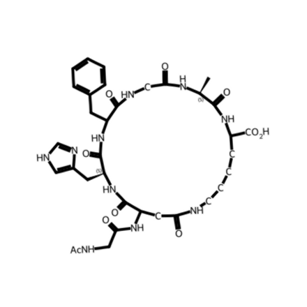 CC(=O)NCC(=O)NC1CC(=O)NCCCCC(C(=O)O)NC(=O)[C@H](C)NC(=O)CNC(=O)C(Cc2ccccc2)NC(=O)[C@H](Cc2c[nH]cn2)NC1=O